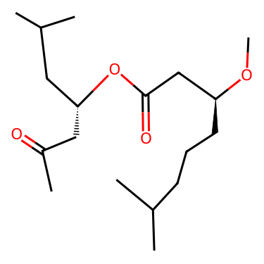 CO[C@@H](CCCC(C)C)CC(=O)O[C@H](CC(C)=O)CC(C)C